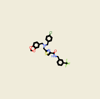 O=C(NCc1cccc(C(F)(F)F)c1)c1csc(CN(Cc2ccc(Cl)cc2)Cc2ccc3c(c2)OCO3)n1